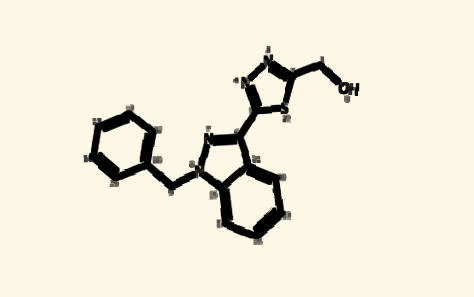 OCc1nnc(-c2nn(Cc3ccccc3)c3ccccc23)s1